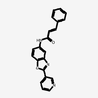 O=C(C=Cc1ccccc1)Nc1ccc2oc(-c3cccnc3)nc2c1